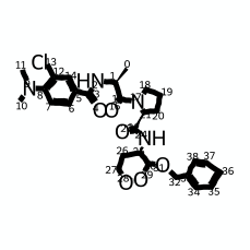 C[C@H](NC(=O)c1ccc(N(C)C)c(Cl)c1)C(=O)N1CCC[C@H]1C(=O)N[C@H]1CCOOC1OCc1ccccc1